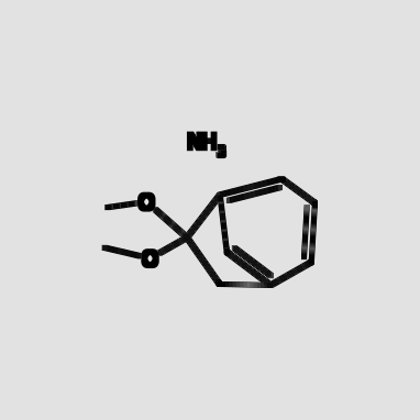 COC1(OC)Cc2cccc1c2.N